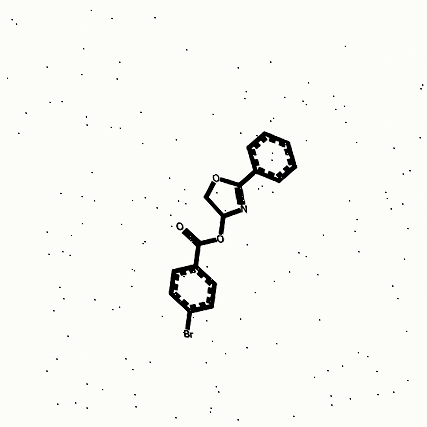 O=C(OC1COC(c2ccccc2)=N1)c1ccc(Br)cc1